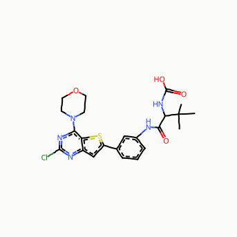 CC(C)(C)C(NC(=O)O)C(=O)Nc1cccc(-c2cc3nc(Cl)nc(N4CCOCC4)c3s2)c1